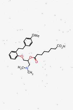 COc1ccc(CCc2ccccc2OCC(CN(C)C)OC(=O)CCCCCCC(=O)O)cc1